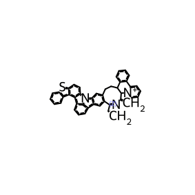 C=C/C1=N/C(=C)C2C(CCc3cc4c(cc31)c1cccc3c5c6c(ccc5n4c13)sc1ccccc16)c1ccccc1-c1cccc[n+]12